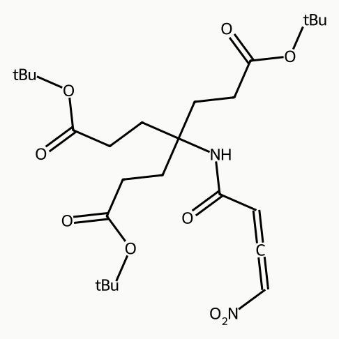 CC(C)(C)OC(=O)CCC(CCC(=O)OC(C)(C)C)(CCC(=O)OC(C)(C)C)NC(=O)C=C=C[N+](=O)[O-]